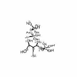 CCCCC(CCCC)C(O)C(O)O.O=P(O)(O)O.O=P(O)(O)O.O=P(O)(O)O